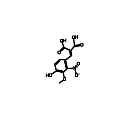 COc1c(O)ccc(C=C(C(=O)O)C(=O)O)c1[N+](=O)[O-]